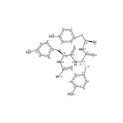 CC(=O)[C@H](Cc1ccc(O)cc1)NC(=O)[C@H](Cc1ccc(O)cc1)NC(=O)[C@H](Cc1ccc(O)cc1)NC(=O)C(C)C